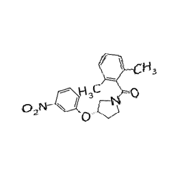 Cc1cccc(C)c1C(=O)N1CC[C@H](Oc2cccc([N+](=O)[O-])c2)C1